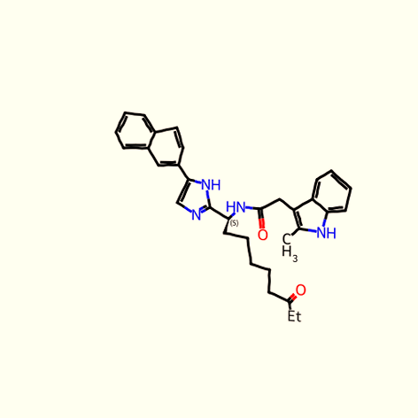 CCC(=O)CCCCC[C@H](NC(=O)Cc1c(C)[nH]c2ccccc12)c1ncc(-c2ccc3ccccc3c2)[nH]1